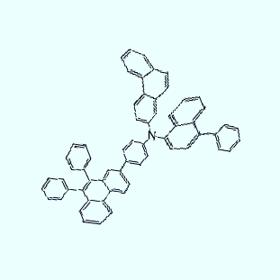 c1ccc(-c2ccc(N(c3ccc(-c4ccc5c(c4)c(-c4ccccc4)c(-c4ccccc4)c4ccccc45)cc3)c3ccc4c(ccc5ccccc54)c3)c3ccccc23)cc1